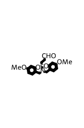 COc1ccc(CN(Cc2ccc(OC)cc2)S(=O)(=O)CCC=O)cc1